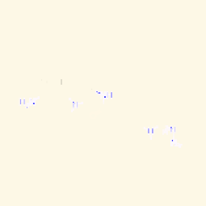 C=N/N=C\N(C)c1ccc(C(=O)N[C@]2(c3ccccc3)CCc3c(C(N)C(=O)O)c4cc(C)ccc4n3C2)c(Cl)c1